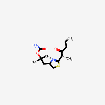 CCCC(=O)[C@H](C)C1=NC(CC(C)(C)OC(N)=O)CS1